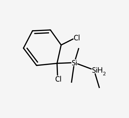 C[SiH2][Si](C)(C)C1(Cl)C=CC=CC1Cl